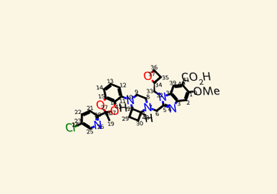 COc1cc2nc(CN3CCN(c4cccc5c4OC(C)(c4ccc(Cl)cn4)O5)[C@@H]4CC[C@H]43)n(C[C@@H]3CCO3)c2cc1C(=O)O